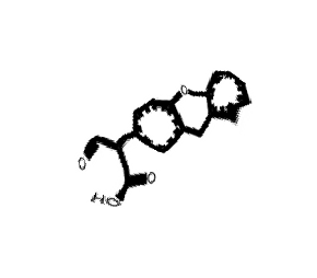 O=CC(C(=O)O)c1ccc2c(c1)Cc1ccccc1O2